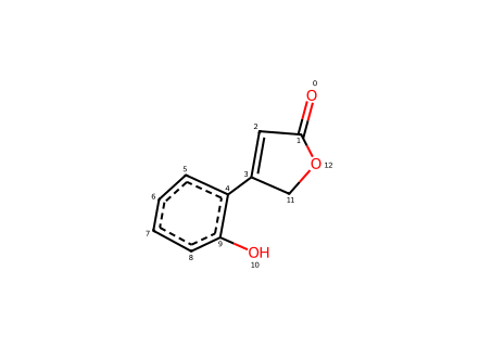 O=C1C=C(c2ccccc2O)CO1